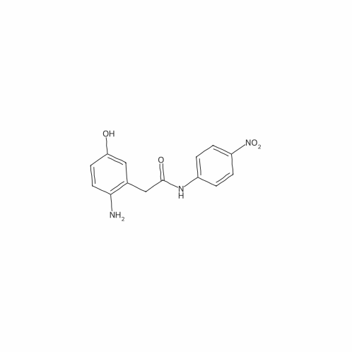 Nc1ccc(O)cc1CC(=O)Nc1ccc([N+](=O)[O-])cc1